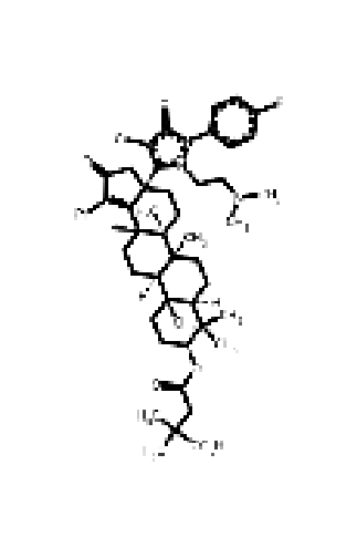 CC(C)C1=C2[C@H]3CC[C@@H]4[C@@]5(C)CC[C@H](OC(=O)CC(C)(C)C(=O)O)C(C)(C)[C@@H]5CC[C@@]4(C)[C@]3(C)CC[C@@]2(c2c(Cl)c(=O)n(-c3ccc(F)cc3)n2CCN(C)C)CC1=O